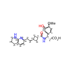 COc1ccc([C@H](CC(=O)O)NC(=O)[C@H]2C[C@H](CCc3ccc4c(n3)NCCC4)C2)cc1O